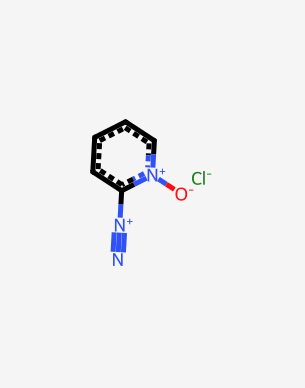 N#[N+]c1cccc[n+]1[O-].[Cl-]